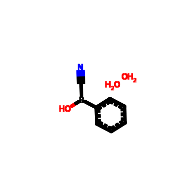 N#CB(O)c1ccccc1.O.O